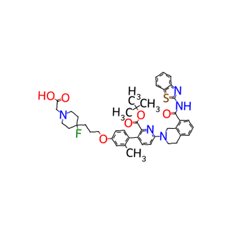 Cc1cc(OCCCC2(F)CCN(CC(=O)O)CC2)ccc1-c1ccc(N2CCc3cccc(C(=O)Nc4nc5ccccc5s4)c3C2)nc1C(=O)OC(C)(C)C